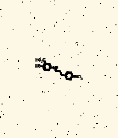 O=C(O)c1cc(NCCCc2ccc([N+](=O)[O-])cc2)ccc1O